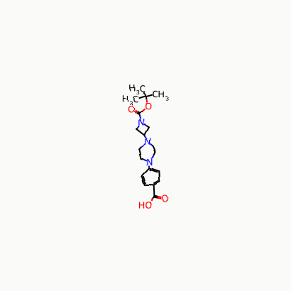 CC(C)(C)OC(=O)N1CC(N2CCN(c3ccc(C(=O)O)cc3)CC2)C1